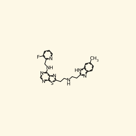 Cc1ccc2nc(CCNCCc3nc4c(NCc5ncccc5F)ncnc4s3)[nH]c2c1